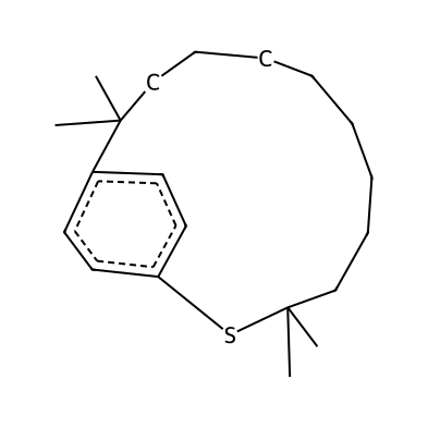 CC1(C)CCCCCCCCC(C)(C)c2ccc(cc2)S1